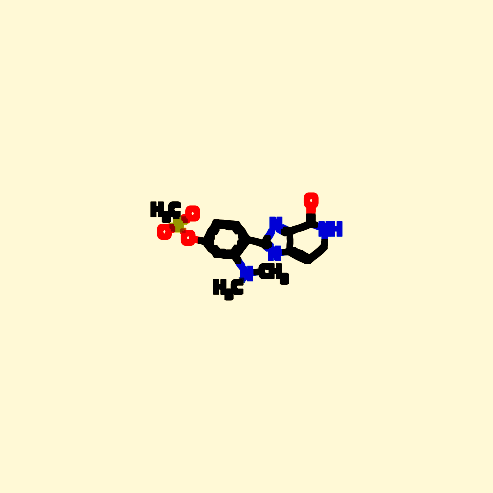 CN(C)c1cc(OS(C)(=O)=O)ccc1C1=NC2=CCNC(=O)C2=N1